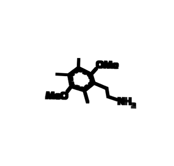 COc1c(C)c(C)c(OC)c(CCN)c1C